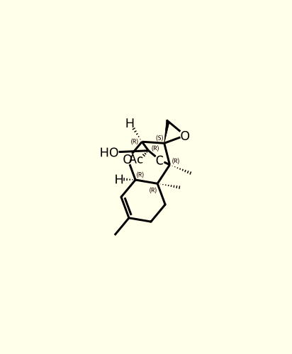 CC(=O)[C@@]1(O)C[C@]2(C)[C@@]3(C)CCC(C)=C[C@H]3O[C@H]1[C@@]21CO1